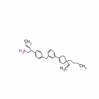 C=CC1(CCCC)CC=C(c2cccc(Cc3ccc(C(C=CC)CP)cc3)c2)CC1